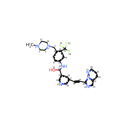 CN1CCN(Cc2ccc(NC(O)c3cncc(C#Cc4ncc5cccnn45)c3)cc2C(F)(F)F)CC1